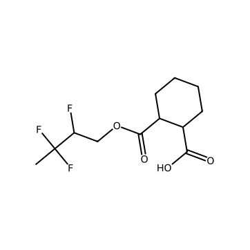 CC(F)(F)C(F)COC(=O)C1CCCCC1C(=O)O